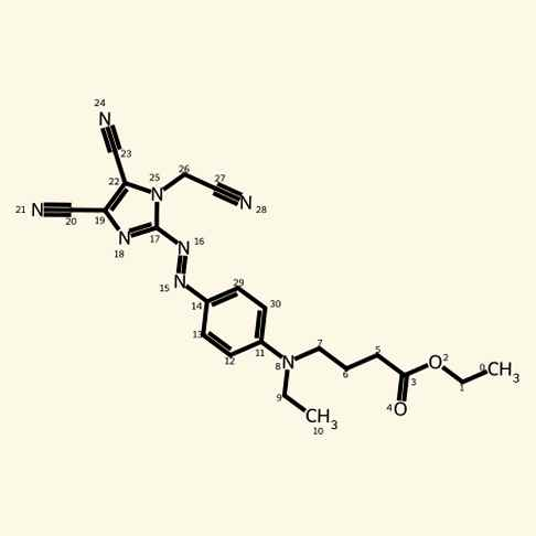 CCOC(=O)CCCN(CC)c1ccc(N=Nc2nc(C#N)c(C#N)n2CC#N)cc1